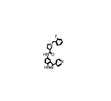 O=C(Nc1ccc2[nH]nc(-c3ccncc3)c2c1)C1CCN(Cc2ccccc2F)C1